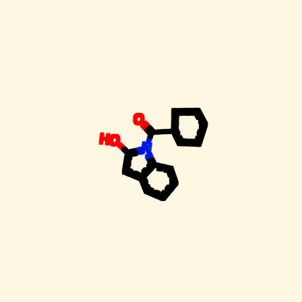 O=C(c1ccccc1)n1c(O)cc2ccccc21